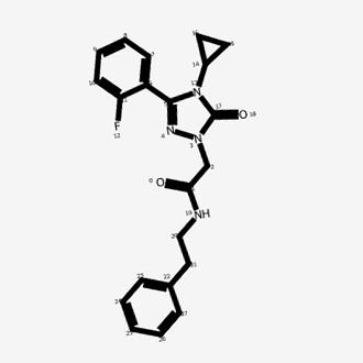 O=C(Cn1nc(-c2ccccc2F)n(C2CC2)c1=O)NCCc1ccccc1